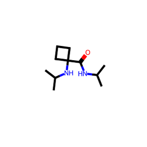 CC(C)NC(=O)C1(NC(C)C)CCC1